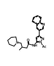 CC(=O)n1nc(-c2cnc3ccccc3c2)cc1NC(=O)CC(C)CN1CCCCC1